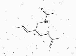 CC=CC(CNC(C)=O)CNC(C)=O